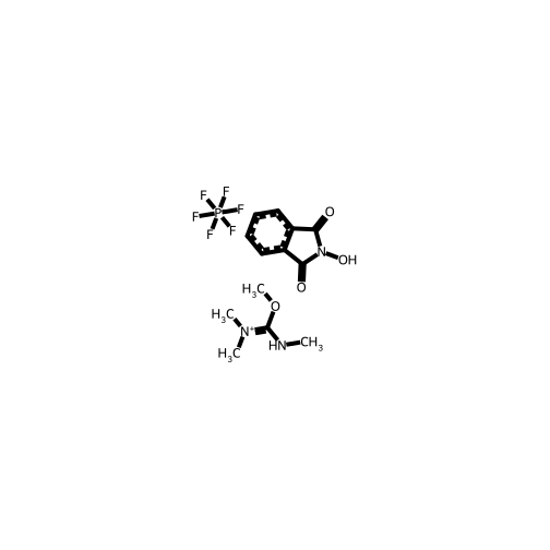 CNC(OC)=[N+](C)C.F[P-](F)(F)(F)(F)F.O=C1c2ccccc2C(=O)N1O